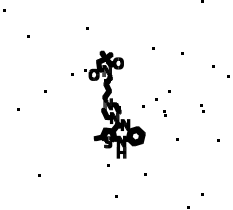 Cc1cc2c(s1)Nc1ccccc1N=C2N1CCN(CCCCN2C(=O)CC(C)(C)C2=O)CC1